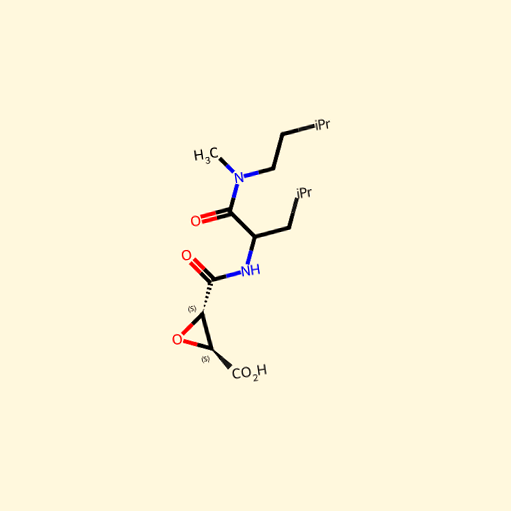 CC(C)CCN(C)C(=O)C(CC(C)C)NC(=O)[C@H]1O[C@@H]1C(=O)O